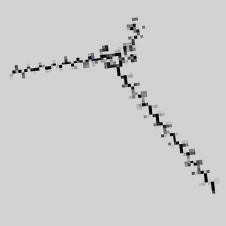 CCCCCCCCCCCCC/C=C/[C@@H](O)[C@H](COP(=O)([O-])OCC[N+](C)(C)C)NC(=O)CCCCCCCCCCCCCCCCCCCCCCCCC